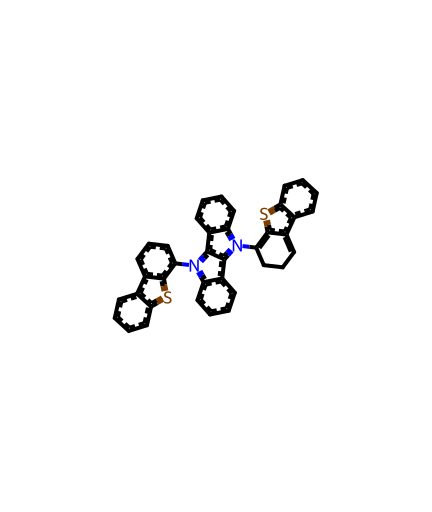 C1=c2c(sc3ccccc23)=C(n2c3ccccc3c3c2c2ccccc2n3-c2cccc3c2sc2ccccc23)CC1